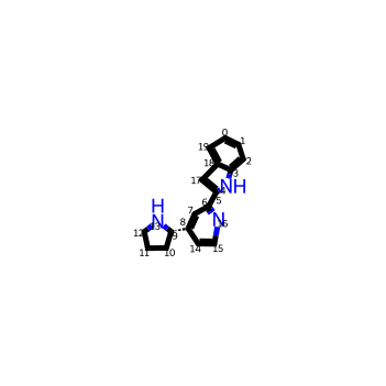 c1ccc2[nH]c(-c3cc([C@@H]4CCCN4)ccn3)cc2c1